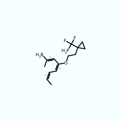 B/C(C)=C/C(=C\C=C/C)OCCC1(C(F)(F)P)CC1